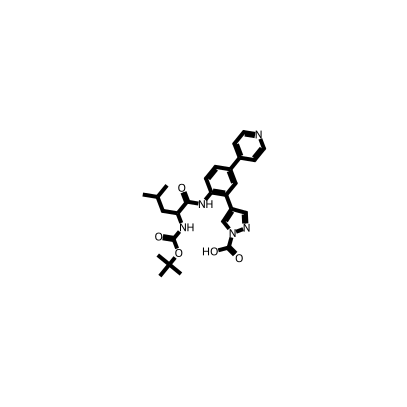 CC(C)CC(NC(=O)OC(C)(C)C)C(=O)Nc1ccc(-c2ccncc2)cc1-c1cnn(C(=O)O)c1